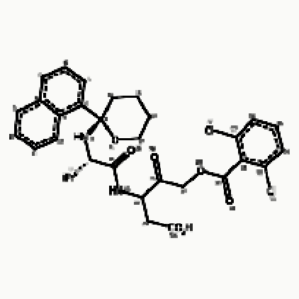 CC(C)[C@H](N[C@@]1(c2cccc3ccccc23)CCCCO1)C(=O)NC(CC(=O)O)C(=O)COC(=O)c1c(Cl)cccc1Cl